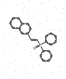 O=P(/C=C/c1ccc2ccccc2c1)(c1ccccc1)c1ccccc1